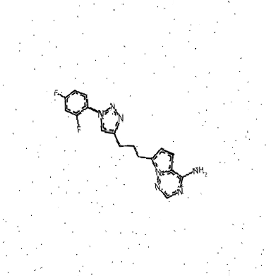 Nc1ncnn2c(CCCc3cn(-c4ccc(F)cc4F)nn3)ccc12